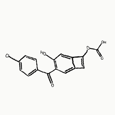 O=C(O)OC1=Cc2cc(C(=O)c3ccc(Cl)cc3)c(O)cc21